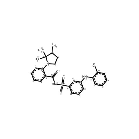 CC1CCN(c2ncccc2C(=O)NS(=O)(=O)c2cccc(Nc3ccccc3Cl)n2)C1(C)C